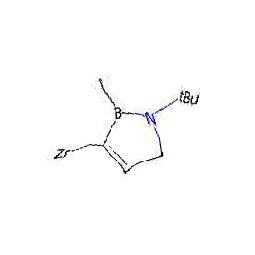 CB1[C]([Zr])=CCN1C(C)(C)C